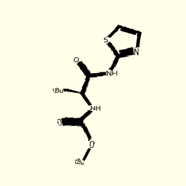 CC(C)(C)OC(=O)N[C@H](C(=O)Nc1nccs1)C(C)(C)C